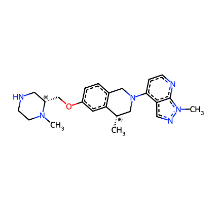 C[C@H]1CN(c2ccnc3c2cnn3C)Cc2ccc(OC[C@H]3CNCCN3C)cc21